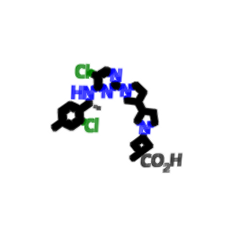 Cc1ccc([C@@H](C)Nc2nc(N3CCC(C4CCN(C5CC(C)(C(=O)O)C5)C4)C3)ncc2Cl)c(Cl)c1